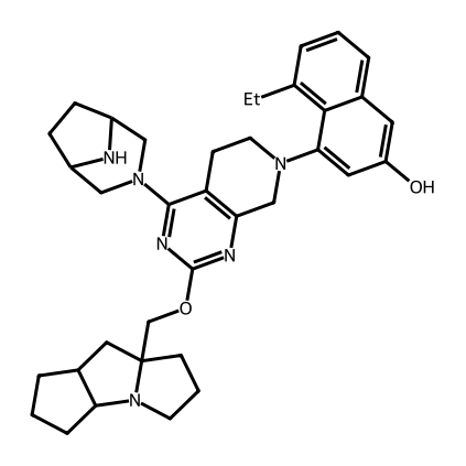 CCc1cccc2cc(O)cc(N3CCc4c(nc(OCC56CCCN5C5CCCC5C6)nc4N4CC5CCC(C4)N5)C3)c12